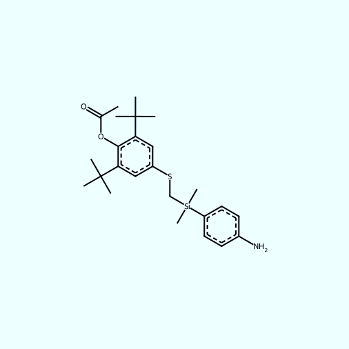 CC(=O)Oc1c(C(C)(C)C)cc(SC[Si](C)(C)c2ccc(N)cc2)cc1C(C)(C)C